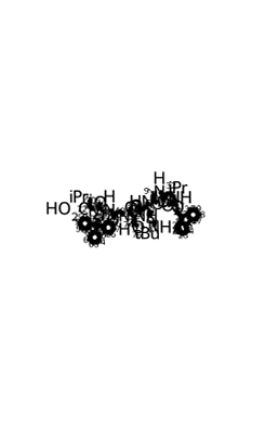 CC(=O)NCSC[C@H](NC(=O)[C@H](C)NC(=O)[C@@H](NC(=O)OCC1c2ccccc2-c2ccccc21)C(C)C)C(=O)N[C@H](C(=O)NCC(=O)N[C@@H](CSC(c1ccccc1)(c1ccccc1)c1ccccc1)C(=O)N[C@@H](CC(C)C)C(=O)O)[C@@H](C)OC(C)(C)C